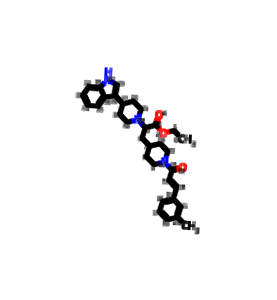 CCOC(=O)C(CC1CCN(C(=O)C=Cc2cccc(C)c2)CC1)N1CCC(c2c[nH]c3ccccc23)CC1